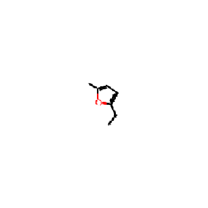 CCc1ccc(C)o1